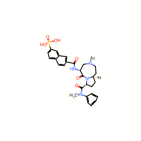 CC(=O)N1CC[C@H]2CC[C@@H](C(=O)N(C)c3ccccc3)N2C(=O)[C@@H](NC(=O)c2ccc3ccc(P(=O)(O)O)cc3c2)C1